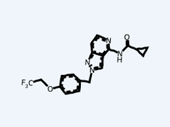 O=C(Nc1nccc2nn(Cc3ccc(OCC(F)(F)F)cc3)cc12)C1CC1